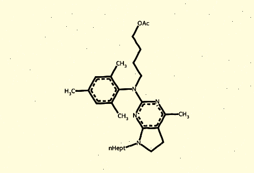 CCCCCCCN1CCc2c(C)nc(N(CCCCOC(C)=O)c3c(C)cc(C)cc3C)nc21